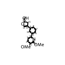 COc1ccc(-c2cccc(C3=COB(O)C3)c2)nc1OC